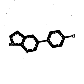 Clc1ccc(-c2cnc3[nH]ccc3c2)cc1